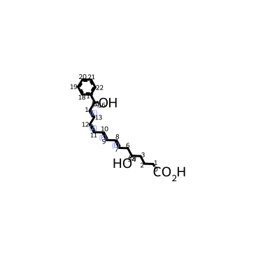 O=C(O)CCC[C@H](O)C/C=C/C=C/C=C\C=C\[C@H](O)c1ccccc1